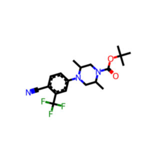 CC1CN(c2ccc(C#N)c(C(F)(F)F)c2)C(C)CN1C(=O)OC(C)(C)C